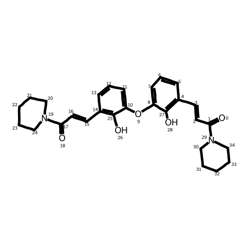 O=C(/C=C/c1cccc(Oc2cccc(/C=C/C(=O)N3CCCCC3)c2O)c1O)N1CCCCC1